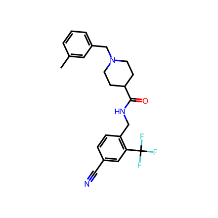 Cc1cccc(CN2CCC(C(=O)NCc3ccc(C#N)cc3C(F)(F)F)CC2)c1